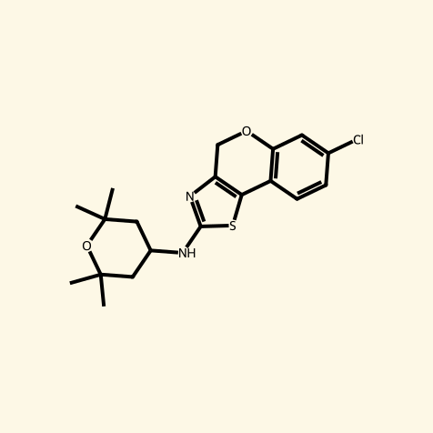 CC1(C)CC(Nc2nc3c(s2)-c2ccc(Cl)cc2OC3)CC(C)(C)O1